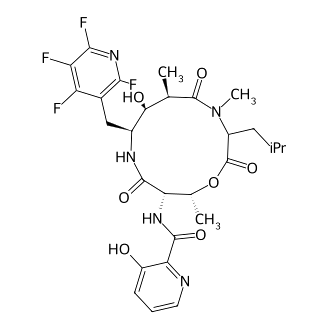 CC(C)CC1C(=O)O[C@H](C)[C@H](NC(=O)c2ncccc2O)C(=O)N[C@@H](Cc2c(F)nc(F)c(F)c2F)[C@@H](O)[C@@H](C)C(=O)N1C